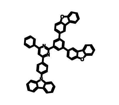 c1ccc(-c2cc(-c3ccc(-n4c5ccccc5c5ccccc54)cc3)nc(-c3cc(-c4ccc5oc6ccccc6c5c4)cc(-c4ccc5oc6ccccc6c5c4)c3)n2)cc1